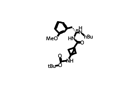 CCCCN[C@@H](Cc1cccc(OC)c1)NC(=O)C12CC(NC(=O)OC(C)(C)C)(C1)C2